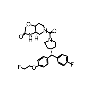 O=C1COC2CCN(C(=O)N3CCC([C@H](c4ccc(F)cc4)c4ccc(OCCF)cc4)CC3)C[C@H]2N1